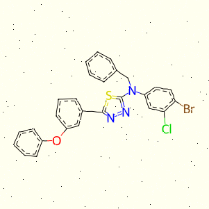 Clc1cc(N(Cc2ccccc2)c2nnc(-c3cccc(Oc4ccccc4)c3)s2)ccc1Br